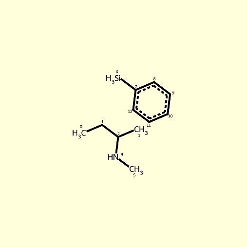 CCC(C)NC.[SiH3]c1ccccc1